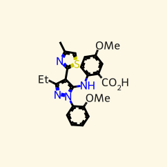 CCc1nn(-c2ccccc2OC)c(Nc2ccc(OC)cc2C(=O)O)c1-c1nc(C)cs1